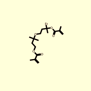 C=C(C)C(=O)OCCC(C)(C)OCCC(C)(CC)OC(=O)C(=C)C